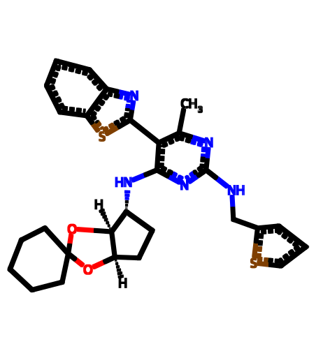 Cc1nc(NCc2cccs2)nc(N[C@@H]2CC[C@H]3OC4(CCCCC4)O[C@@H]23)c1-c1nc2ccccc2s1